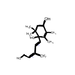 CC1=C(C)C(O)(/C=C/C(C)=C\CO)C(C)(C)CC1O